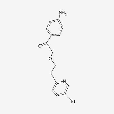 CCc1ccc(CCOCC(=O)c2ccc(N)cc2)nc1